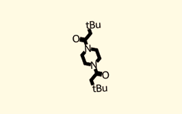 CC(C)(C)CC(=O)N1CCN(C(=O)CC(C)(C)C)CC1